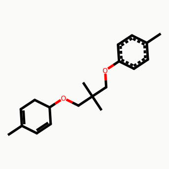 CC1=CCC(OCC(C)(C)COc2ccc(C)cc2)C=C1